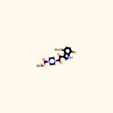 COc1ccc(Br)c2[nH]cc(C(=O)C(=O)N3CCN(C(=O)OC(C)(C)C)CC3)c12